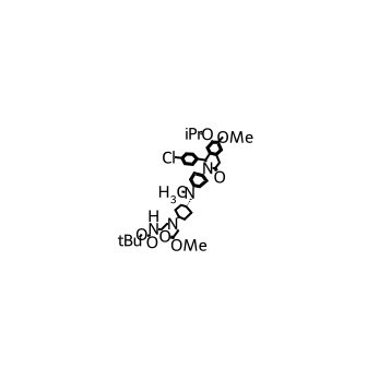 COC(=O)CN(CCNC(=O)OC(C)(C)C)[C@H]1CC[C@H](CN(C)c2ccc(N3C(=O)Cc4cc(OC)c(OC(C)C)cc4C3c3ccc(Cl)cc3)cc2)CC1